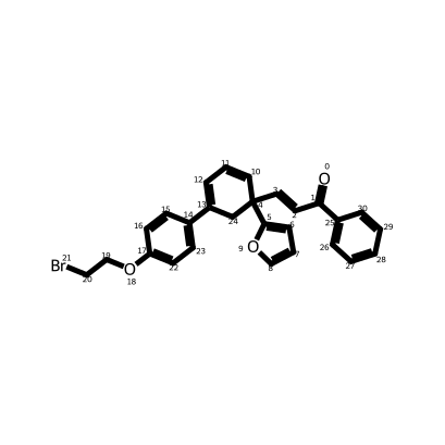 O=C(/C=C/C1(c2ccco2)C=CC=C(c2ccc(OCCBr)cc2)C1)c1ccccc1